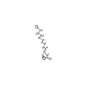 [CH2]C(CC=CCCCCCCCCCC)OC